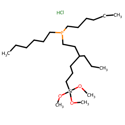 CCCCCCP(CCCCCC)CCC(CCC)CCC[Si](OC)(OC)OC.Cl